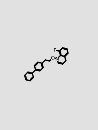 Fc1cccc2c1N(OCCc1ccc(-c3ccccc3)cc1)C=CC2